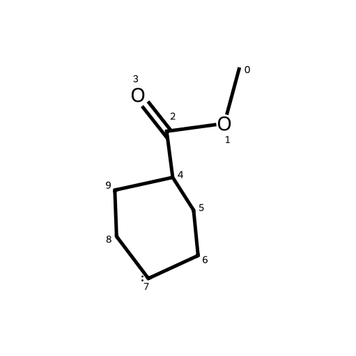 COC(=O)C1CC[C]CC1